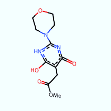 COC(=O)Cc1c(O)[nH]c(N2CCOCC2)nc1=O